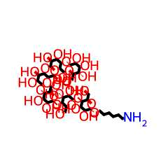 NCCCCCCO[C@H]1OC(CO)[C@H](O[C@H]2OC(CO)[C@@H](O[C@@H]3OC(CO)[C@@H](O[C@@H]4OC(CO)[C@@H](O[C@H]5OC(CO)[C@H](O[C@H]6OC(CO)[C@@H](O)C(O)C6O)[C@H](O)C5O)C(O)[C@@H]4O)C(O)[C@@H]3O)[C@H](O)C2O)[C@H](O)C1O